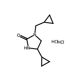 Cl.Cl.O=C1NC(C2CC2)CN1CC1CC1